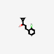 O=C(C=Cc1ccccc1Cl)C1CC1